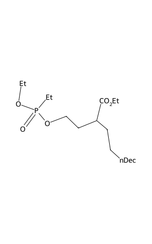 CCCCCCCCCCCCC(CCOP(=O)(CC)OCC)C(=O)OCC